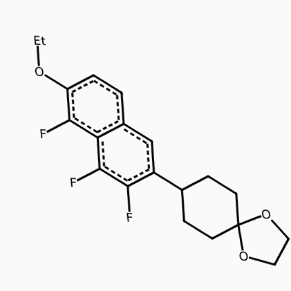 CCOc1ccc2cc(C3CCC4(CC3)OCCO4)c(F)c(F)c2c1F